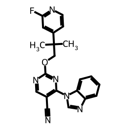 CC(C)(COc1ncc(C#N)c(-n2cnc3ccccc32)n1)c1ccnc(F)c1